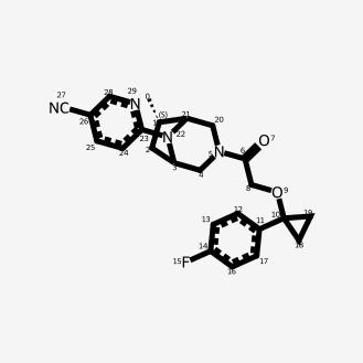 C[C@H]1CC2CN(C(=O)COC3(c4ccc(F)cc4)CC3)CC1N2c1ccc(C#N)cn1